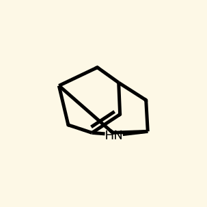 C1=C2CC3CC1CC(C3)N2